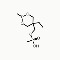 CCC1(COP(C)(=O)O)COP(C)OC1